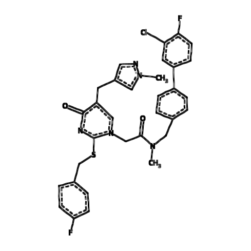 CN(Cc1ccc(-c2ccc(F)c(Cl)c2)cc1)C(=O)Cn1cc(Cc2cnn(C)c2)c(=O)nc1SCc1ccc(F)cc1